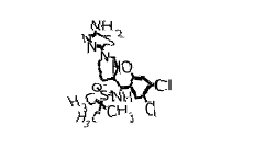 CC(C)(C)[S+]([O-])N[C@@H](c1cc(Cl)c(Cl)cc1O)C1CCN(c2nnc(N)s2)CC1